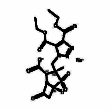 CCOC(=O)c1nnn(C[C@@]2(C)[C@H](C(=O)[O-])N3C(=O)C[C@H]3S2(=O)=O)c1C(=O)OCC.[Na+]